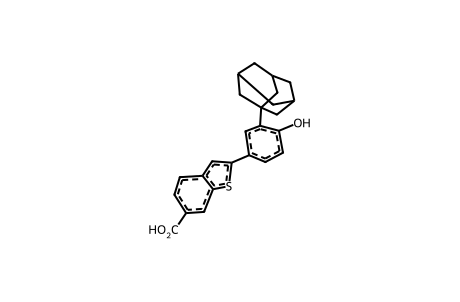 O=C(O)c1ccc2cc(-c3ccc(O)c(C45CC6CC(CC(C6)C4)C5)c3)sc2c1